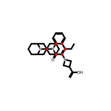 C=C(O)C1CN(c2nc3ccccc3n(C3CC4CCCC(C3)N4C3CC4CC(CC)CC(C4)C3)c2=O)C1